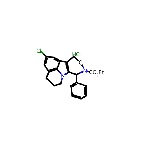 CCOC(=O)N1CCc2c(n3c4c(cc(Cl)cc24)CCC3)C1c1ccccc1.Cl